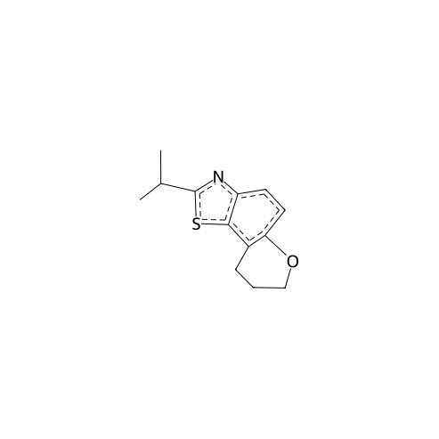 CC(C)c1nc2ccc3c(c2s1)CCCO3